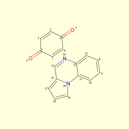 O=C1C=CC(=O)C=C1.c1ccc2c(c1)ncc1cccn12